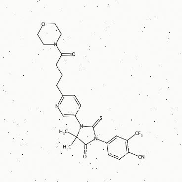 CC1(C)C(=O)N(c2ccc(C#N)c(C(F)(F)F)c2)C(=S)N1c1ccc(CCCC(=O)N2CCOCC2)nc1